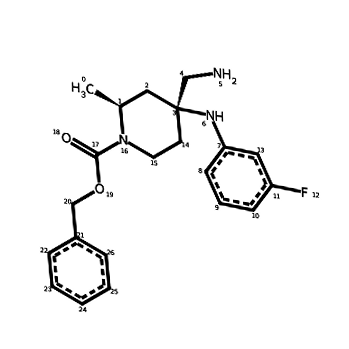 C[C@H]1C[C@](CN)(Nc2cccc(F)c2)CCN1C(=O)OCc1ccccc1